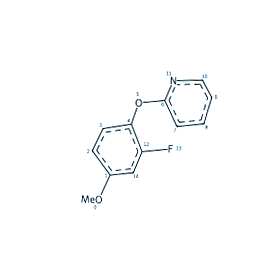 COc1ccc(Oc2ccccn2)c(F)c1